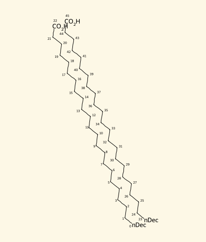 CCCCCCCCCCCCCCCCCCCCCCCCCCCCCCCC(=O)O.CCCCCCCCCCCCCCCCCCCCCCCCCCCCCCCC(=O)O